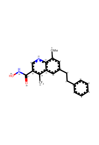 COc1cc(CCc2ccccc2)cc2c(C(F)(F)F)c(C(=O)NO)cnc12